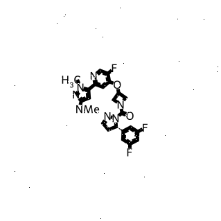 CNc1cc(-c2cc(OC3CN(C(=O)N4N=CC[C@H]4c4cc(F)cc(F)c4)C3)c(F)cn2)n(C)n1